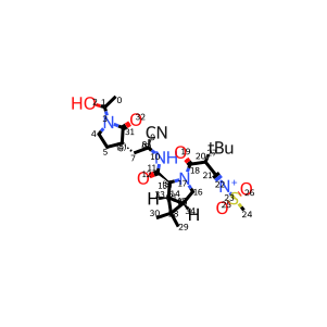 CC(O)N1CC[C@@H](C[C@@H](C#N)NC(=O)[C@@H]2[C@@H]3[C@H](CN2C(=O)C(C#[N+]S(C)(=O)=O)C(C)(C)C)C3(C)C)C1=O